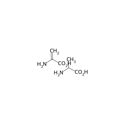 C=C(N)C(=O)O.CC(N)C(=O)O